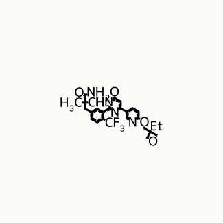 CCC1(COc2ccc(-c3cc(=O)[nH]c(-c4cc(CC(C)(C)C(N)=O)ccc4C(F)(F)F)n3)cn2)COC1